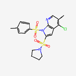 Cc1ccc(S(=O)(=O)n2c(S(=O)(=O)N3CCCC3)cc3c(Cl)c(C)cnc32)cc1